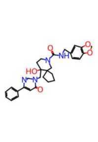 O=C(NCc1ccc2c(c1)OCO2)N1CCC(O)(Cn2cnc(-c3ccccc3)cc2=O)C2(CCCC2)C1